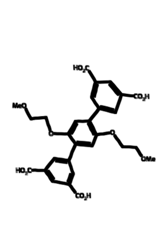 COCCOc1cc(-c2cc(C(=O)O)cc(C(=O)O)c2)c(OCCOC)cc1-c1cc(C(=O)O)cc(C(=O)O)c1